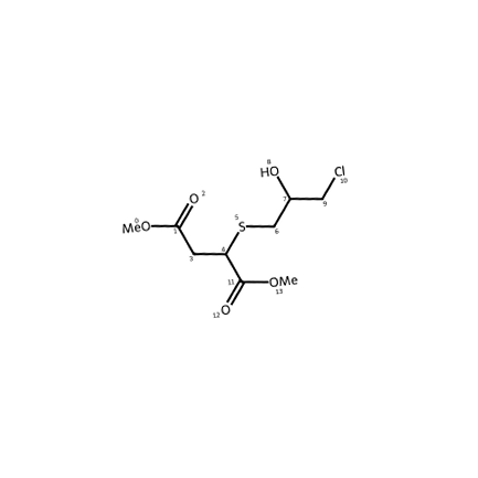 COC(=O)CC(SCC(O)CCl)C(=O)OC